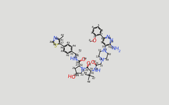 COc1ccccc1-c1cc(N2CCN(CC(=O)N[C@H](C(=O)N3C[C@H](O)C[C@H]3C(=O)N[C@@H](C)c3ccc(-c4scnc4C)cc3)C(C)(C)C)CC2)c(N)nn1